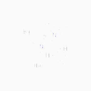 CC(C)(C)c1ccc(N2c3ccc(C(C)(C)C)cc3B3c4c2cc(C(C)(C)c2ccccc2)cc4-n2c4ccccc4c4cccc3c42)cc1